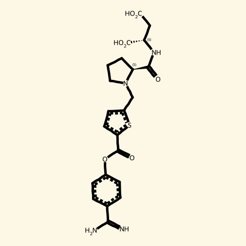 N=C(N)c1ccc(OC(=O)c2ccc(CN3CCC[C@H]3C(=O)N[C@@H](CC(=O)O)C(=O)O)s2)cc1